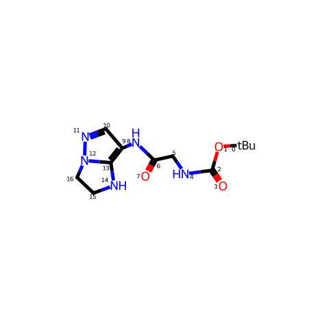 CC(C)(C)OC(=O)NCC(=O)Nc1cnn2c1NCC2